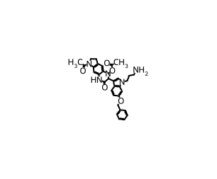 CC(=O)ON1c2cc3c(cc2NC(=O)C1c1cn(CCCN)c2cc(OCc4ccccc4)ccc12)N(C(C)=O)CC3